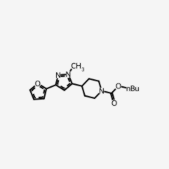 CCCCOC(=O)N1CCC(c2cc(-c3ccco3)nn2C)CC1